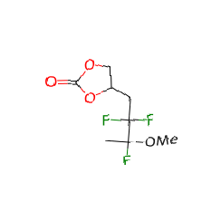 COC(C)(F)C(F)(F)CC1COC(=O)O1